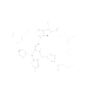 CCCCCC(CC)c1ccc(-c2c3cc(C)sc3c(-c3ccc(CC(CC)CCCC)s3)c3cc(-c4sc(C)c5c(F)c(C(=O)OCC(CC)CCCC)sc45)sc23)s1